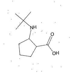 CC(C)(C)NC1CCCC1C(=O)O